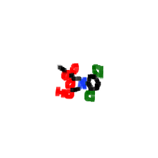 CCOC(=O)CCN(CC(=O)O)c1cc(Cl)ccc1Cl